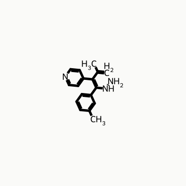 C=C(C)/C(=C(\NN)c1cccc(C)c1)c1ccncc1